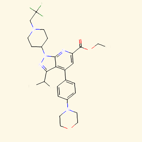 CCOC(=O)c1cc(-c2ccc(N3CCOCC3)cc2)c2c(C(C)C)nn(C3CCN(CC(F)(F)F)CC3)c2n1